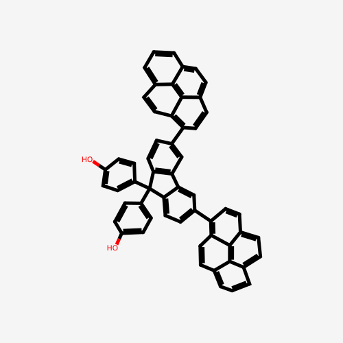 Oc1ccc(C2(c3ccc(O)cc3)c3ccc(-c4ccc5ccc6cccc7ccc4c5c67)cc3-c3cc(-c4ccc5ccc6cccc7ccc4c5c67)ccc32)cc1